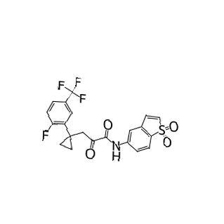 O=C(CC1(c2cc(C(F)(F)F)ccc2F)CC1)C(=O)Nc1ccc2c(c1)C=CS2(=O)=O